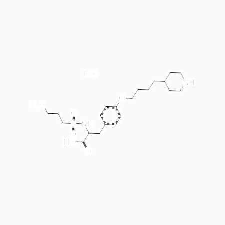 CCCCS(=O)(=O)NC(Cc1ccc(OCCCCC2CCNCC2)cc1)C(=O)O.Cl